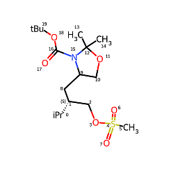 CC(C)[C@@H](COS(C)(=O)=O)CC1COC(C)(C)N1C(=O)OC(C)(C)C